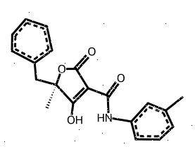 Cc1cccc(NC(=O)C2=C(O)[C@@](C)(Cc3ccccc3)OC2=O)c1